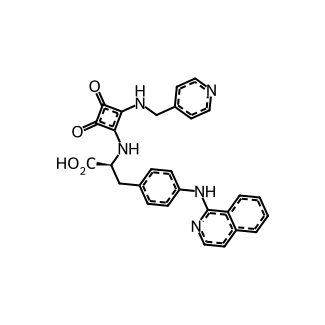 O=C(O)[C@H](Cc1ccc(Nc2nccc3ccccc23)cc1)Nc1c(NCc2ccncc2)c(=O)c1=O